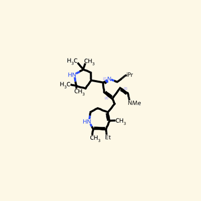 CCC1=C(C)NCCC(CC(/C=C\NC)=C/C(=N\CC(C)C)C2CC(C)(C)NC(C)(C)C2)=C1C